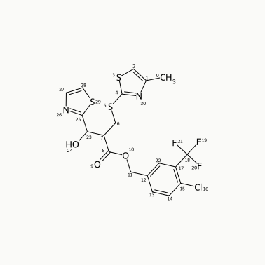 Cc1csc(SCC(C(=O)OCc2ccc(Cl)c(C(F)(F)F)c2)C(O)c2nccs2)n1